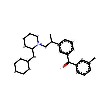 Cc1cccc(C(=O)c2cccc(C(C)CN3CCCCC3CC3CCCCC3)c2)c1